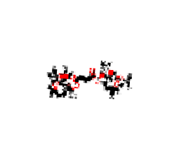 CCC(OC(=O)C=CC(=O)OC(CC)[Si]1(O[Si](C)(C)C)CCC(C)(C)O[Si]1(C)O[Si](C)(C)C)[Si]1(O[Si](C)(C)C)CCC(C)(C)O[Si]1(C)O[Si](C)(C)C